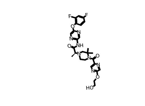 C[C@@H](C(=O)Nc1cnc(Oc2ccc(F)cc2F)cn1)N1CCN(C(=O)c2cnc(OCCO)cn2)C(C)(C)C1